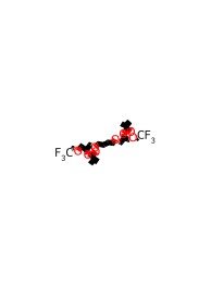 C=C(C)C(=O)OC(COCCCCOCC(COCC(F)(F)F)OC(=O)C(=C)C)COCC(F)(F)F